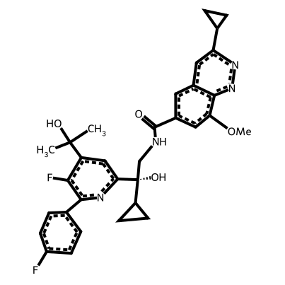 COc1cc(C(=O)NC[C@](O)(c2cc(C(C)(C)O)c(F)c(-c3ccc(F)cc3)n2)C2CC2)cc2cc(C3CC3)nnc12